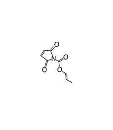 CC=COC(=O)N1C(=O)C=CC1=O